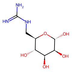 N=C(N)NC[C@H]1O[C@H](O)[C@@H](O)[C@@H](O)[C@@H]1O